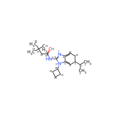 CC(C)C1C=c2c(nc(NC(=O)CC(C)(C)C)n2C2CCC2)=CC1